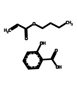 C=CC(=O)OCCCC.O=C(O)c1ccccc1O